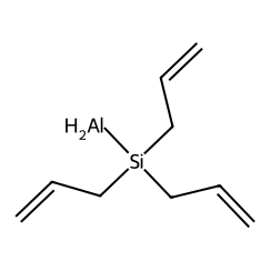 C=CC[Si]([AlH2])(CC=C)CC=C